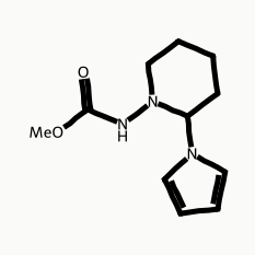 COC(=O)NN1CCCCC1n1cccc1